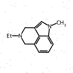 CCN1Cc2cccc3c2c(cn3C)C1